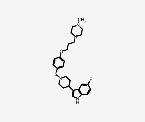 CN1CCN(CCCOc2ccc(SN3CCC(c4c[nH]c5ccc(F)cc45)CC3)cc2)CC1